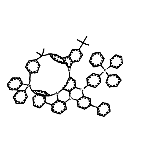 CC(C)(C)c1ccc2c(c1)c1cc3ccc1n2-c1cc2c4c(c1)N(c1ccc(cc1)[Si](c1ccccc1)(c1ccccc1)c1ccc(cc1)C3(C)C)c1c(cccc1-c1ccccc1)B4c1ccc(-c3ccccc3)cc1N2c1ccc([Si](c2ccccc2)(c2ccccc2)c2ccccc2)cc1